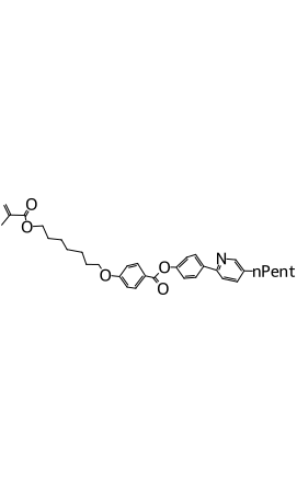 C=C(C)C(=O)OCCCCCCCOc1ccc(C(=O)Oc2ccc(-c3ccc(CCCCC)cn3)cc2)cc1